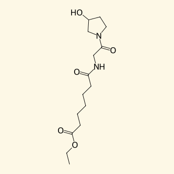 CCOC(=O)CCCCCC(=O)NCC(=O)N1CCC(O)C1